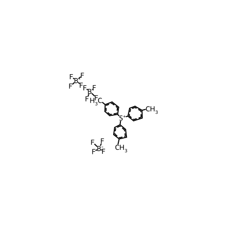 Cc1ccc([S+](c2ccc(C)cc2)c2ccc(C)cc2)cc1.F[B-](F)(F)F.F[B-](F)(F)F.F[B-](F)(F)F